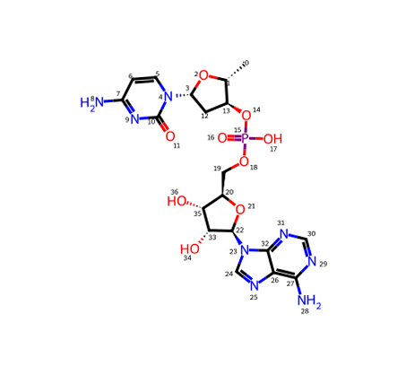 [CH2][C@H]1O[C@@H](n2ccc(N)nc2=O)C[C@@H]1OP(=O)(O)OC[C@H]1O[C@@H](n2cnc3c(N)ncnc32)[C@H](O)[C@@H]1O